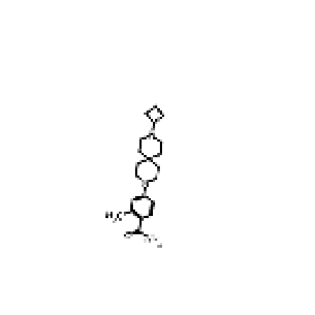 Cc1cc(N2CCC3(CC2)CCN(C2CCC2)CC3)ccc1C(N)=O